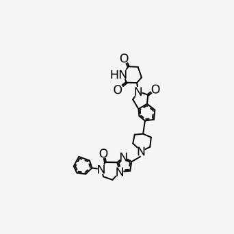 O=C1CCC(N2Cc3cc(C4CCN(Cc5cn6c(n5)C(=O)N(c5ccccc5)CC6)CC4)ccc3C2=O)C(=O)N1